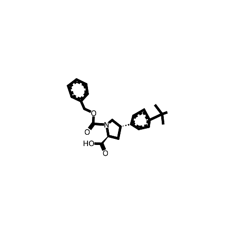 CC(C)(C)c1ccc([C@@H]2C[C@@H](C(=O)O)N(C(=O)OCc3ccccc3)C2)cc1